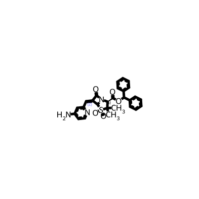 CC1(C)[C@H](C(=O)OC(c2ccccc2)c2ccccc2)N2C(=O)/C(=C/c3cc(N)ccn3)C2S1(=O)=O